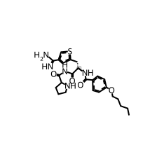 CCCCCOc1ccc(C(=O)N[C@@H](Cc2cc(C(=N)N)cs2)C(=O)NC(=O)C2CCCN2)cc1